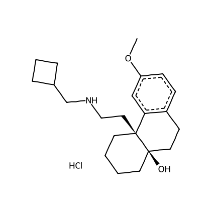 COc1ccc2c(c1)[C@@]1(CCNCC3CCC3)CCCC[C@@]1(O)CC2.Cl